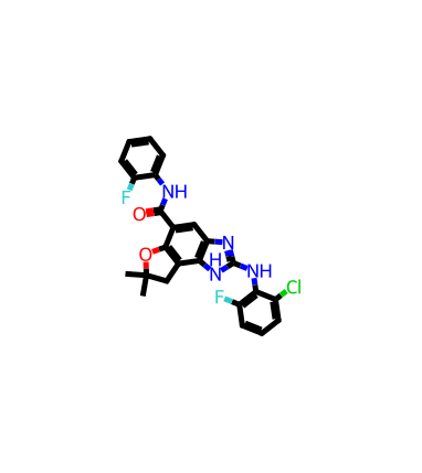 CC1(C)Cc2c(c(C(=O)Nc3ccccc3F)cc3nc(Nc4c(F)cccc4Cl)[nH]c23)O1